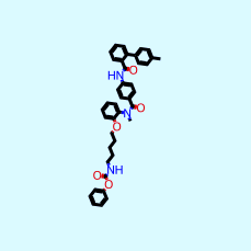 Cc1ccc(-c2ccccc2C(=O)Nc2ccc(C(=O)N(C)c3ccccc3OCCCCCNC(=O)Oc3ccccc3)cc2)cc1